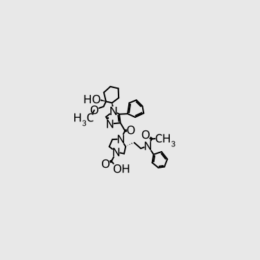 COC[C@]1(O)CCCC[C@H]1n1cnc(C(=O)N2CCN(C(=O)O)C[C@H]2CCN(C(C)=O)c2ccccc2)c1-c1ccccc1